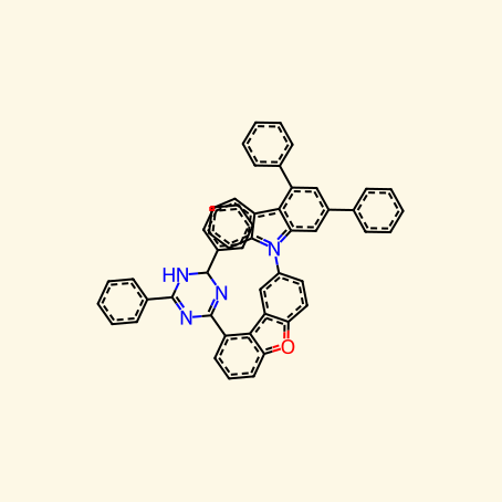 c1ccc(C2=NC(c3cccc4oc5ccc(-n6c7ccccc7c7c(-c8ccccc8)cc(-c8ccccc8)cc76)cc5c34)=NC(c3ccccc3)N2)cc1